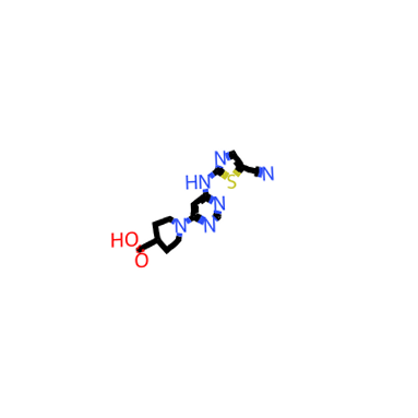 N#Cc1cnc(Nc2cc(N3CCC(C(=O)O)CC3)ncn2)s1